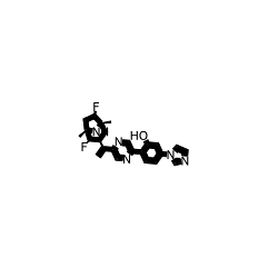 C=C(c1cnc(-c2ccc(-n3ccnc3)cc2O)cn1)[C@@H]1C[C@]2(C)N[C@@](C)(C[C@H]2F)[C@H]1F